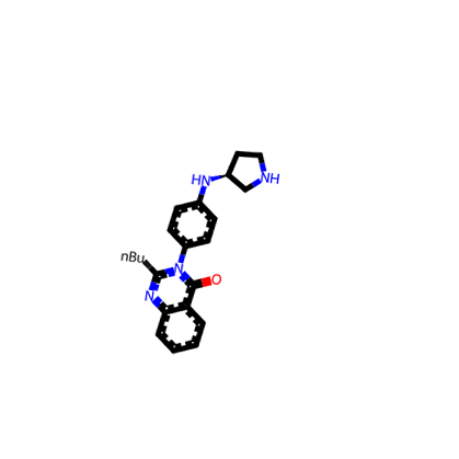 CCCCc1nc2ccccc2c(=O)n1-c1ccc(N[C@H]2CCNC2)cc1